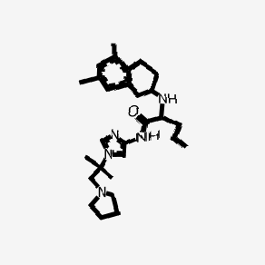 CCCC(NC1CCc2c(C)cc(C)cc2C1)C(=O)Nc1cn(C(C)(C)CN2CCCC2)cn1